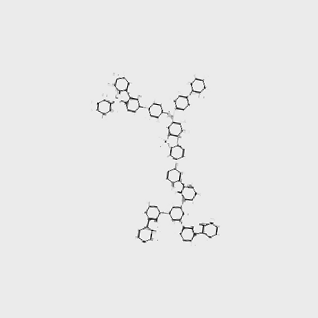 CC1(C)c2cc(-c3ccc4sc5c(-c6cc(-c7cccc8c7sc7ccccc78)cc(-c7cccc8c7sc7ccccc78)c6)cccc5c4c3)ccc2-c2ccc(N(c3ccc(-c4ccccc4)cc3)c3ccc(-c4ccc5c(c4)c4ccccc4n5-c4ccccc4)cc3)cc21